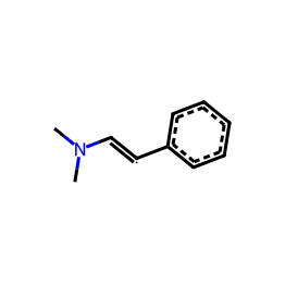 CN(C)C=[C]c1ccccc1